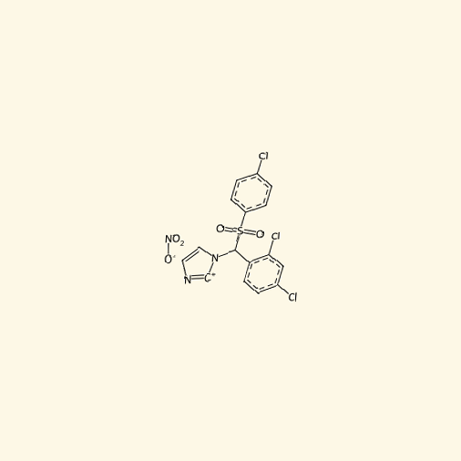 O=S(=O)(c1ccc(Cl)cc1)C(c1ccc(Cl)cc1Cl)N1[C+]=NC=C1.O=[N+]([O-])[O-]